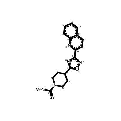 CNC(=O)N1CCC(c2nc(-c3ccc4ccccc4n3)no2)CC1